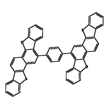 c1ccc2c(c1)oc1c3ccc4c5ccccc5sc4c3cc(-c3ccc(-c4cc5c(ccc6c7ccccc7sc65)c5oc6ccccc6c45)cc3)c21